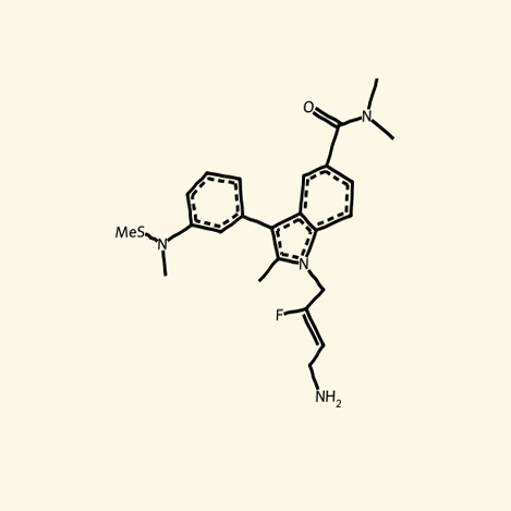 CSN(C)c1cccc(-c2c(C)n(C/C(F)=C/CN)c3ccc(C(=O)N(C)C)cc23)c1